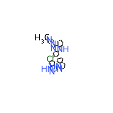 C1=Cc2ccccc2NN=C1.C1=Cc2ccccc2NN=C1.CN1CCN(C2=Nc3cc(Cl)ccc3Nc3ccccc32)CC1